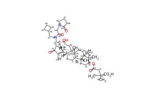 CC(C)C1=C2[C@H]3CC[C@@H]4[C@@]5(C)CC[C@@H](OC(=O)CC(C)(C)C(=O)O)C(C)(C)[C@@H]5CC[C@@]4(C)[C@]3(C)CC[C@@]2([C@@H](O)CN(CC2CCC2)C(=O)CN2CCCC2=O)CC1=O